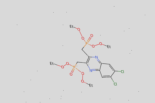 CCOOP(=O)(Cc1nc2cc(Cl)c(Cl)cc2nc1CP(=O)(OOCC)OOCC)OOCC